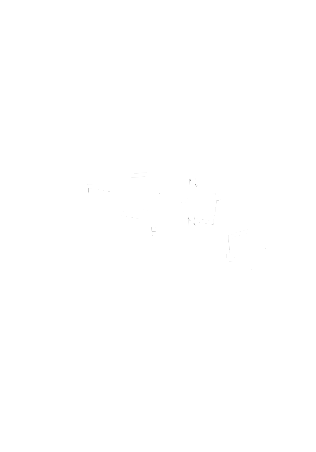 Fc1ccc(-c2nsc(-c3ccco3)n2)c(F)c1